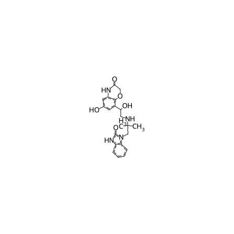 CC(C)(Cn1c(=O)[nH]c2ccccc21)NCC(O)c1cc(O)cc2c1OCC(=O)N2